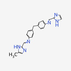 Cc1cnc(/C=N/c2ccc(Cc3ccc(/N=C/c4ncc[nH]4)cc3)cc2)[nH]1